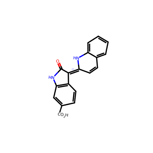 O=C1Nc2cc(C(=O)O)ccc2/C1=C1\C=Cc2ccccc2N1